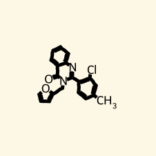 Cc1ccc(-c2nc3ccccc3c(=O)n2Cc2ccco2)c(Cl)c1